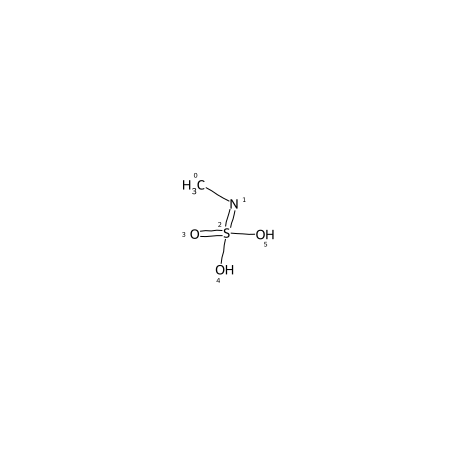 CN=S(=O)(O)O